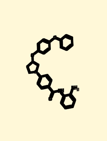 Nc1ccccc1NC(=O)c1ccc(N2CCC(Oc3ccc(Oc4ccccc4)cc3)C2)cc1